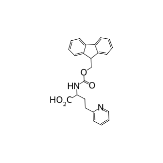 O=C(NC(CCc1ccccn1)C(=O)O)OCC1c2ccccc2-c2ccccc21